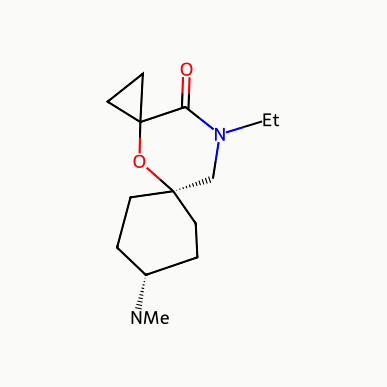 CCN1C[C@]2(CC[C@@H](NC)CC2)OC2(CC2)C1=O